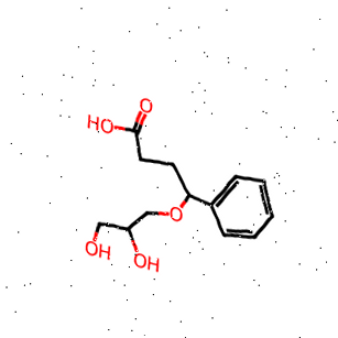 O=C(O)CCC(OCC(O)CO)c1ccccc1